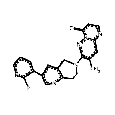 Cc1cc2nccc(=O)n2nc1N1CCc2ncc(-c3cccnc3F)cc2C1